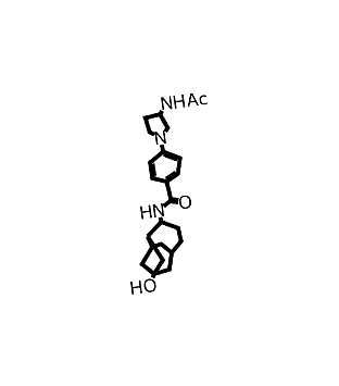 CC(=O)NC1CCN(c2ccc(C(=O)NC3CCC4CC5CC(O)(C4)CC53)cc2)C1